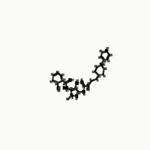 Cn1nc(OC(=O)NCCC2CCN(c3ccncc3)CC2)c(Br)c1NC(=O)c1ccccc1Cl